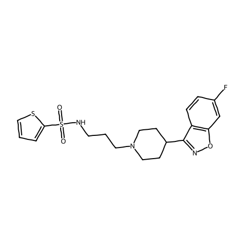 O=S(=O)(NCCCN1CCC(c2noc3cc(F)ccc23)CC1)c1cccs1